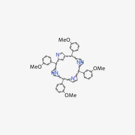 COc1cccc(-c2c3cc(c(-c4cccc(OC)c4)c4ccc([nH]4)c(-c4cccc(OC)c4)c4nc(c(-c5cccc(OC)c5)c5ccc2[nH]5)C=C4)N=C3)c1